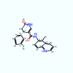 Cc1c(NC(=O)C2=CNC(=O)C[C@H]2c2cccc(F)c2)ccc2ncccc12